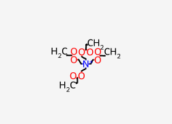 C=CC(=O)OCC[N+](CCOC(=O)C=C)(CCOC(=O)C=C)CCOC(=O)C=C